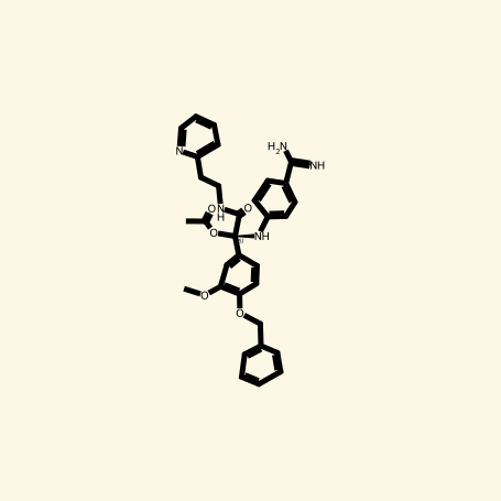 COc1cc([C@](Nc2ccc(C(=N)N)cc2)(OC(C)=O)C(=O)NCCc2ccccn2)ccc1OCc1ccccc1